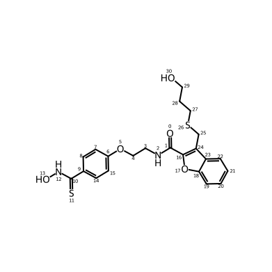 O=C(NCCOc1ccc(C(=S)NO)cc1)c1oc2ccccc2c1CSCCCO